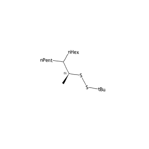 CCCCCCC(CCCCC)[C@H](C)SSC(C)(C)C